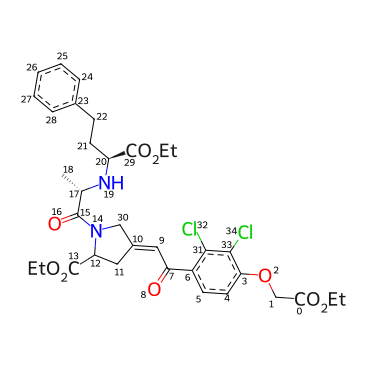 CCOC(=O)COc1ccc(C(=O)/C=C2\CC(C(=O)OCC)N(C(=O)[C@H](C)N[C@@H](CCc3ccccc3)C(=O)OCC)C2)c(Cl)c1Cl